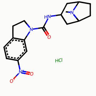 CN1C2CCC1CC(NC(=O)N1CCc3ccc([N+](=O)[O-])cc31)C2.Cl